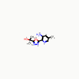 C[C@](O)(c1nnc(-c2ncc(C(F)(F)F)cc2N)o1)C(F)(F)F